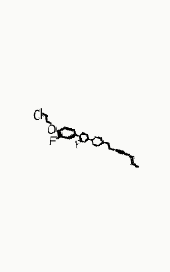 CCCC#CCCC1CCC(c2ccc(-c3ccc(OC/C=C/Cl)c(F)c3)c(F)c2)CC1